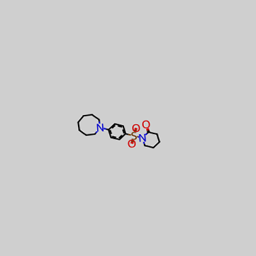 O=C1CCCCN1S(=O)(=O)c1ccc(N2CCCCCCC2)cc1